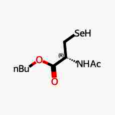 CCCCOC(=O)[C@H](C[SeH])NC(C)=O